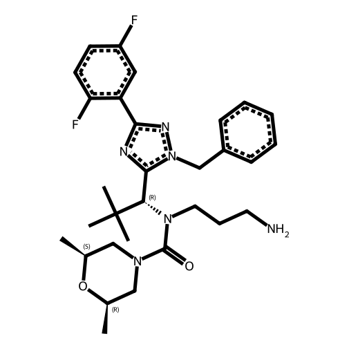 C[C@@H]1CN(C(=O)N(CCCN)[C@@H](c2nc(-c3cc(F)ccc3F)nn2Cc2ccccc2)C(C)(C)C)C[C@H](C)O1